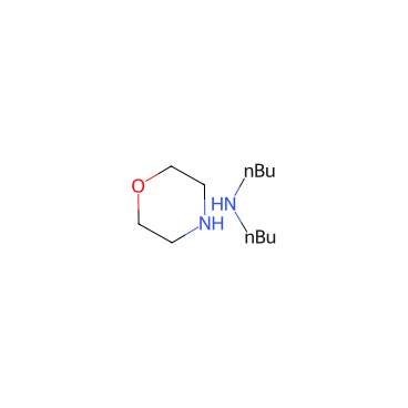 C1COCCN1.CCCCNCCCC